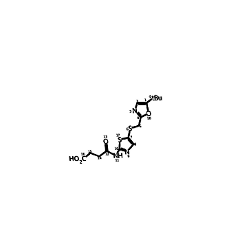 CC(C)(C)c1cnc(CSc2cnc(NC(=O)CCC(=O)O)s2)o1